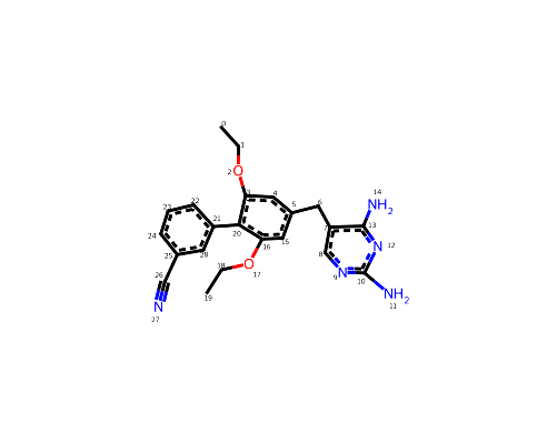 CCOc1cc(Cc2cnc(N)nc2N)cc(OCC)c1-c1cccc(C#N)c1